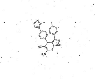 Cc1ccc(-c2n[nH]c3c2C(c2ccc(-n4ccnc4C)cc2)C(C#N)=C(N)O3)cc1